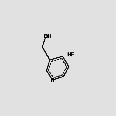 F.OCc1cccnc1